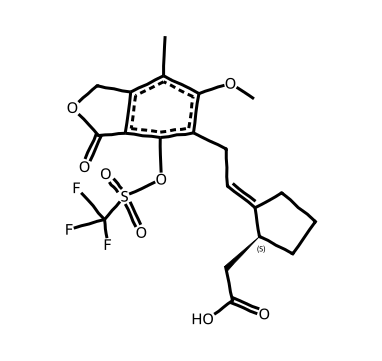 COc1c(C)c2c(c(OS(=O)(=O)C(F)(F)F)c1CC=C1CCC[C@H]1CC(=O)O)C(=O)OC2